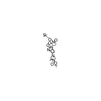 C[C@H]1CN(c2ccc3c(c2)n(C)c(=O)n3C2CCC(=O)N(COCC[Si](C)(C)C)C2=O)CCN1C(=O)OC(C)(C)C